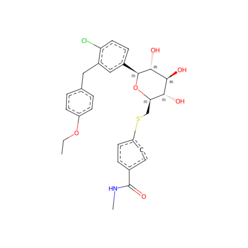 CCOc1ccc(Cc2cc([C@@H]3O[C@H](CSc4ccc(C(=O)NC)cc4)[C@@H](O)[C@H](O)[C@H]3O)ccc2Cl)cc1